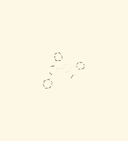 CC(C)(C)OC(=O)N1CC(C(OC(=O)c2ccccc2)C(=O)c2ccccn2)CCC1c1ccccc1